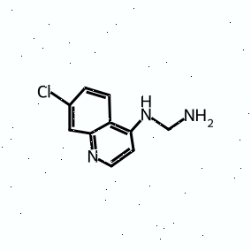 NCNc1ccnc2cc(Cl)ccc12